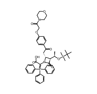 C[C@@H](O[Si](C)(C)C(C)(C)C)[C@H]1C(=O)N(C(C(=O)O)=P(c2ccccc2)(c2ccccc2)c2ccccc2)[C@@H]1CC(=O)c1ccc(OCC(=O)N2CCOCC2)cc1